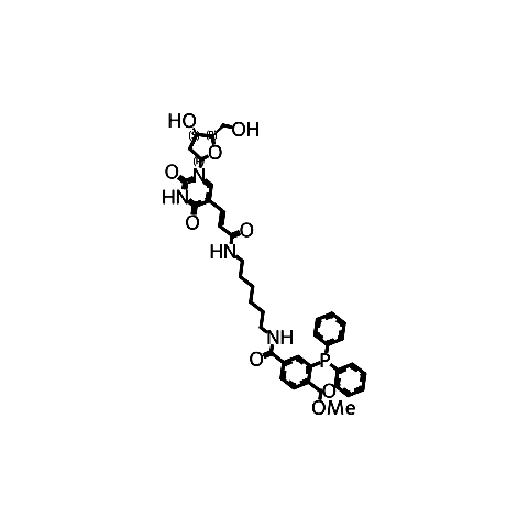 COC(=O)c1ccc(C(=O)NCCCCCCNC(=O)C=Cc2cn([C@H]3C[C@H](O)[C@@H](CO)O3)c(=O)[nH]c2=O)cc1P(c1ccccc1)c1ccccc1